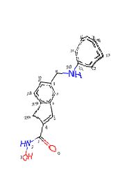 O=C(NO)C1=Cc2cc(CNc3ccccc3)ccc2C1